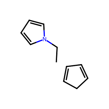 C1=CCC=C1.CCn1cccc1